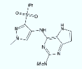 CNc1nc(Nc2cn(C)nc2S(=O)(=O)C(C)C)c2[nH]ccc2n1